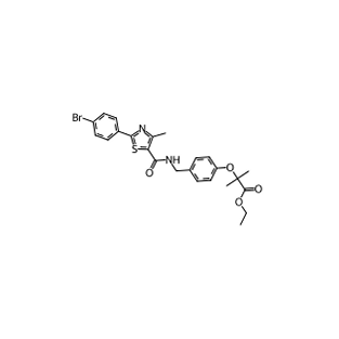 CCOC(=O)C(C)(C)Oc1ccc(CNC(=O)c2sc(-c3ccc(Br)cc3)nc2C)cc1